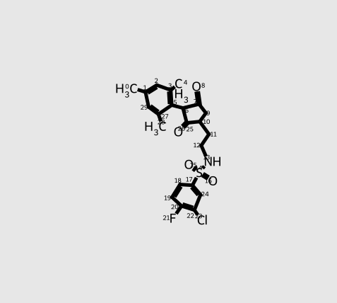 Cc1cc(C)c(C2C(=O)CC(CCNS(=O)(=O)c3ccc(F)c(Cl)c3)C2=O)c(C)c1